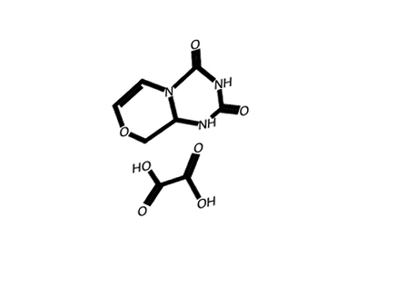 O=C(O)C(=O)O.O=C1NC(=O)N2C=COCC2N1